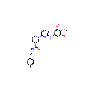 COc1cc(Nc2nccc(N3CCC[C@H](C(=O)NCCc4ccc(F)cc4)C3)n2)cc(OC)c1OC